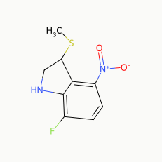 CSC1CNc2c(F)ccc([N+](=O)[O-])c21